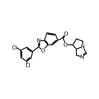 O=C(OC1CCN2C=NCC12)c1ccc2nc(-c3cc(Cl)cc(Cl)c3)oc2c1